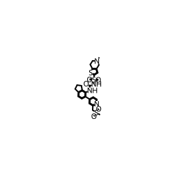 CN1CCc2sc(S(=O)(=O)NC(=O)Nc3c(-c4ccnc(CS(C)(=O)=O)c4)ccc4c3CCC4)cc2C1